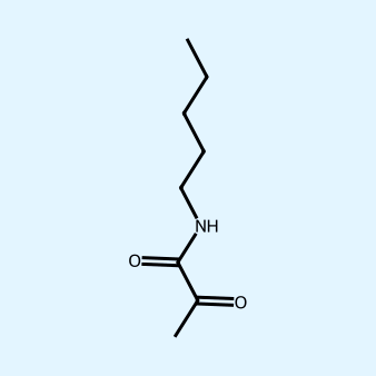 CCCCCNC(=O)C(C)=O